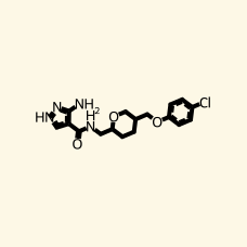 Nc1n[nH]cc1C(=O)NCC1CCC(COc2ccc(Cl)cc2)CO1